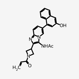 C=CC(=O)N1CC(c2nc3ccc(-c4cc(O)cc5ccccc45)cn3c2NC(C)=O)C1